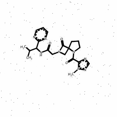 CC(C)C(NC(=O)CN1CC2(CCCN2C(=O)c2ncnn2C)C1=O)c1ncccn1